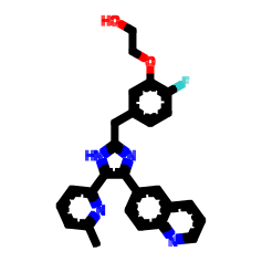 Cc1cccc(-c2[nH]c(Cc3ccc(F)c(OCCO)c3)nc2-c2ccc3ncccc3c2)n1